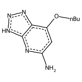 CCCCOc1cc(N)nc2[nH]nnc12